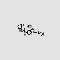 C[C@H]1CNC[C@H](NC(=O)Nc2cnc3c(ccn3COCC[Si](C)(C)C)n2)C1.Cl.Cl